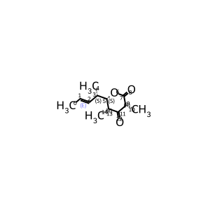 C/C=C/[C@H](C)[C@@H]1OC(=O)[C@H](C)C(=O)[C@@H]1C